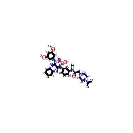 COc1cc(Nc2nc3ccccc3nc2N(c2cccc(NC(=O)CN3CCN(C(C)C)CC3)c2)[SH](=O)=O)cc(OC)c1